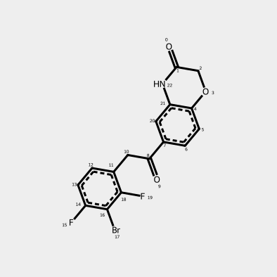 O=C1COc2ccc(C(=O)Cc3ccc(F)c(Br)c3F)cc2N1